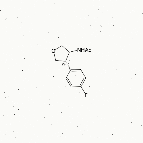 CC(=O)NC1COC[C@H]1c1ccc(F)cc1